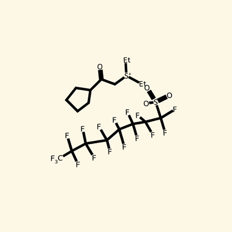 CC[S+](CC)CC(=O)C1CCCC1.O=S(=O)([O-])C(F)(F)C(F)(F)C(F)(F)C(F)(F)C(F)(F)C(F)(F)C(F)(F)C(F)(F)F